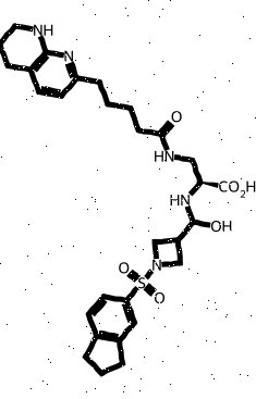 O=C(CCCCc1ccc2c(n1)NCCC2)NC[C@H](NC(O)C1CN(S(=O)(=O)c2ccc3c(c2)CCC3)C1)C(=O)O